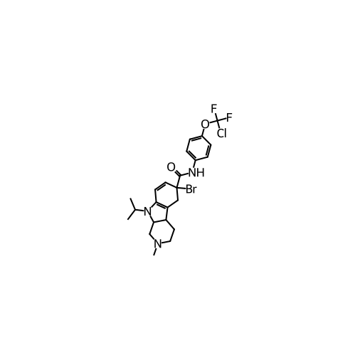 CC(C)N1C2=C(CC(Br)(C(=O)Nc3ccc(OC(F)(F)Cl)cc3)C=C2)C2CCN(C)CC21